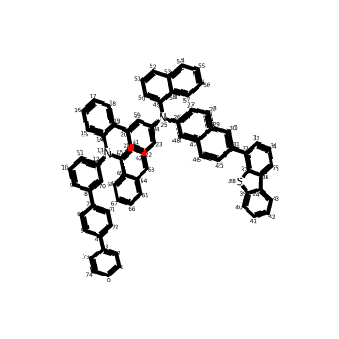 c1ccc(-c2ccc(-c3cccc(N(c4ccccc4-c4cccc(N(c5ccc6cc(-c7cccc8c7sc7ccccc78)ccc6c5)c5cccc6ccccc56)c4)c4cccc5ccccc45)c3)cc2)cc1